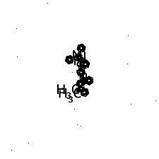 CC1(C)c2ccccc2-c2c1ccc1c2c2ccccc2n1-c1ccc2sc3c(-c4nc(-c5ccccc5)nc(-c5ccccc5)n4)cccc3c2c1